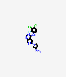 NC1CCN(c2cc3c(Nc4ccc(Cl)c(Cl)c4F)ncnc3cn2)C1